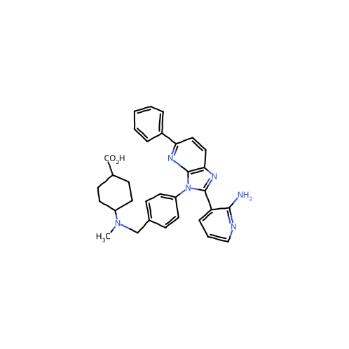 CN(Cc1ccc(-n2c(-c3cccnc3N)nc3ccc(-c4ccccc4)nc32)cc1)C1CCC(C(=O)O)CC1